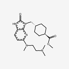 COC(=O)[C@H]1CC[C@H](Cn2c(=O)[nH]c3ccc(N(C)CCN(C)C)nc32)CC1